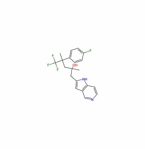 CC(O)(Cc1cc2cnccc2[nH]1)CC(C)(c1ccc(F)cc1)C(F)(F)F